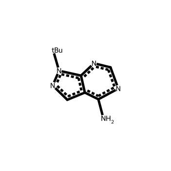 CC(C)(C)n1ncc2c(N)ncnc21